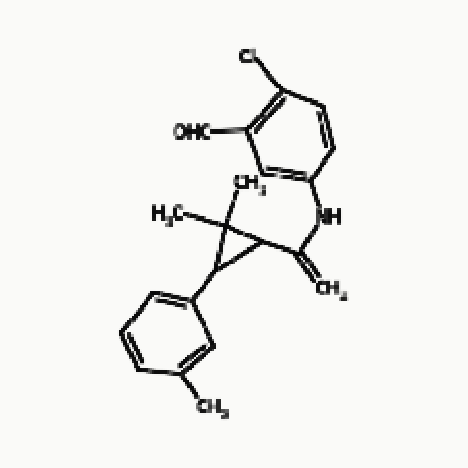 C=C(Nc1ccc(Cl)c(C=O)c1)C1C(c2cccc(C)c2)C1(C)C